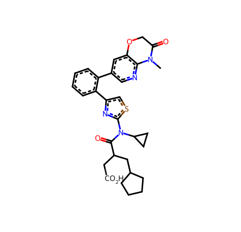 CN1C(=O)COc2cc(-c3ccccc3-c3csc(N(C(=O)C(CC(=O)O)CC4CCCC4)C4CC4)n3)cnc21